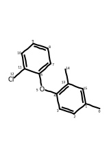 Cc1ccc(Oc2ccccc2Cl)c(C)c1